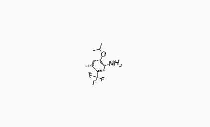 Cc1cc(OC(C)C)c(N)cc1C(F)(F)F